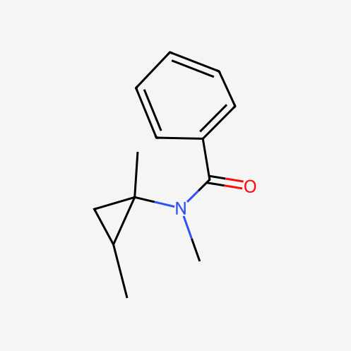 CC1CC1(C)N(C)C(=O)c1ccccc1